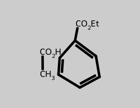 CC(=O)O.CCOC(=O)c1ccccc1